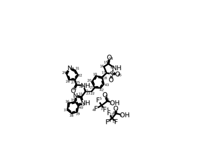 O=C(O)C(F)(F)F.O=C(O)C(F)(F)F.O=C1CC(c2ccc(C[C@H](NC(=O)c3ccncc3)c3nc4ccccc4[nH]3)cc2)S(=O)(=O)N1